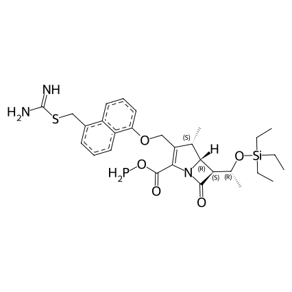 CC[Si](CC)(CC)O[C@H](C)[C@H]1C(=O)N2C(C(=O)OP)=C(COc3cccc4c(CSC(=N)N)cccc34)[C@H](C)[C@H]12